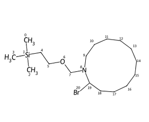 C[Si](C)(C)CCOCN1CCCCCCCCCCC1Br